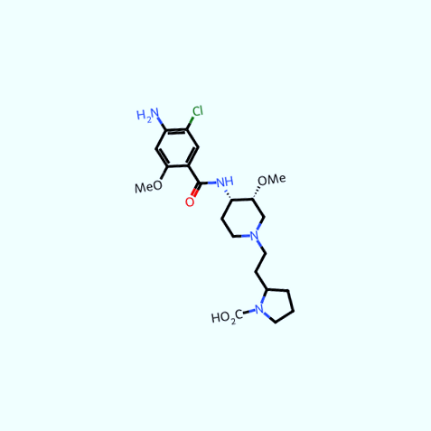 COc1cc(N)c(Cl)cc1C(=O)N[C@H]1CCN(CCC2CCCN2C(=O)O)C[C@H]1OC